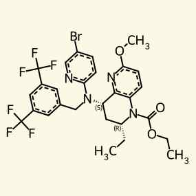 CCOC(=O)N1c2ccc(OC)nc2[C@@H](N(Cc2cc(C(F)(F)F)cc(C(F)(F)F)c2)c2ccc(Br)cn2)C[C@H]1CC